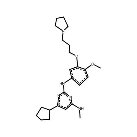 CNc1cc(C2CCCC2)nc(Nc2ccc(OC)c(OCCCN3CCCC3)c2)n1